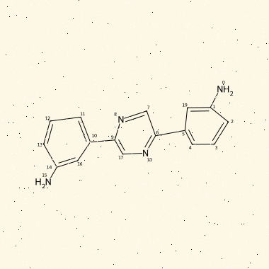 Nc1cccc(-c2cnc(-c3cccc(N)c3)cn2)c1